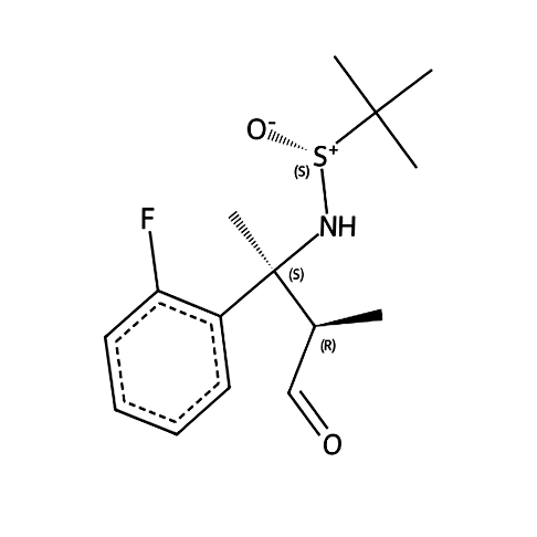 C[C@@H](C=O)[C@](C)(N[S@+]([O-])C(C)(C)C)c1ccccc1F